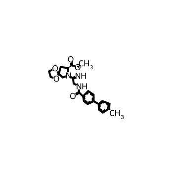 COC(=O)[C@@H]1CC2(CN1C(=N)CNC(=O)c1ccc(-c3ccc(C)cc3)cc1)OCCO2